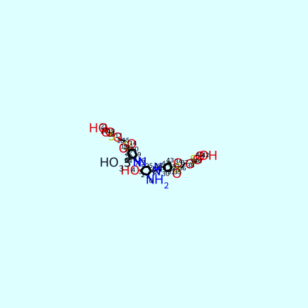 Nc1cc(O)c(/N=N/c2ccc(S(=O)(=O)CCOSOOO)cc2S(=O)(=O)O)cc1/N=N/c1ccc(S(=O)(=O)CCOSOOO)cc1